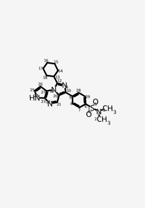 CN(C)S(=O)(=O)c1ccc(-c2nc(C3CCCCC3)n3c2cnc2[nH]ccc23)cc1